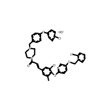 Cc1cc(/C=C/C(=O)N2CCN(Cc3ccc(Oc4ccc(Cl)cc4)cc3)CC2)cc(Cl)c1Oc1ccc(OCc2ccccc2Cl)cn1.Cl